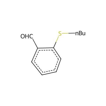 CCCCSc1ccccc1C=O